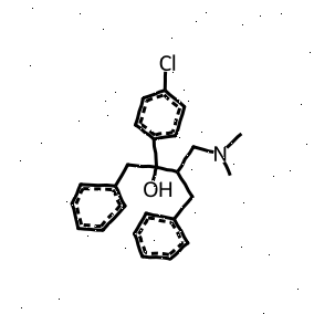 CN(C)CC(Cc1ccccc1)C(O)(Cc1ccccc1)c1ccc(Cl)cc1